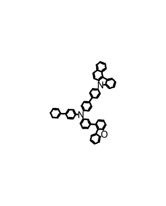 C1=CC(c2ccc(N(c3ccc(-c4ccc(-n5c6ccccc6c6c7ccccc7ccc65)cc4)cc3)c3cccc(-c4cccc5oc6ccccc6c45)c3)cc2)=CCC1